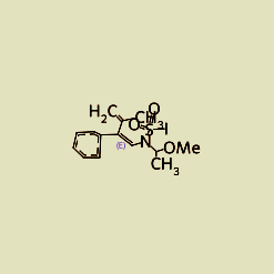 C=C(C)/C(=C\N(C(C)OC)S(=O)(=O)I)c1ccccc1